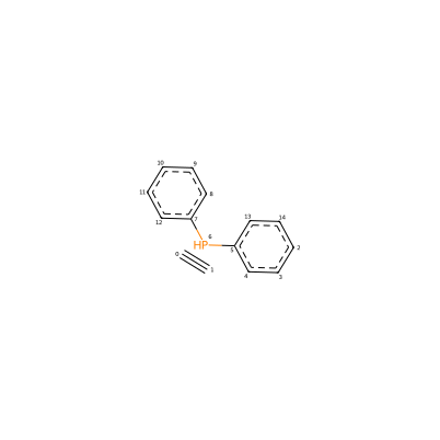 C#C.c1ccc(Pc2ccccc2)cc1